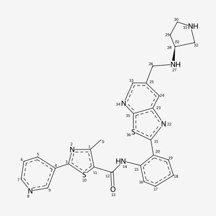 Cc1nc(-c2cccnc2)sc1C(=O)Nc1ccccc1-c1nc2cc(CN[C@H]3CCNC3)cnc2s1